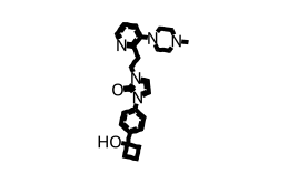 CN1CCN(c2cccnc2CCn2ccn(-c3ccc(C4(O)CCC4)cc3)c2=O)CC1